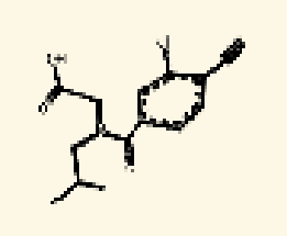 [C]#Cc1ccc(C(=O)N(CC(=O)O)CC(C)C)cc1Cl